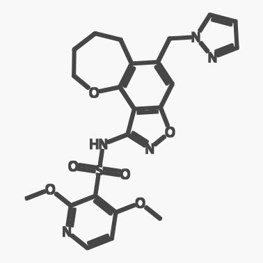 COc1ccnc(OC)c1S(=O)(=O)Nc1noc2cc(Cn3cccn3)c3c(c12)OCCCC3